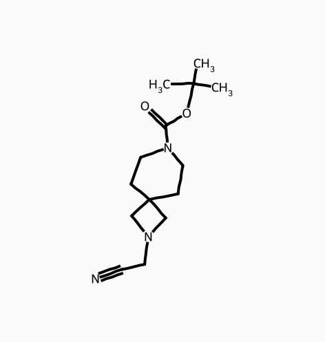 CC(C)(C)OC(=O)N1CCC2(CC1)CN(CC#N)C2